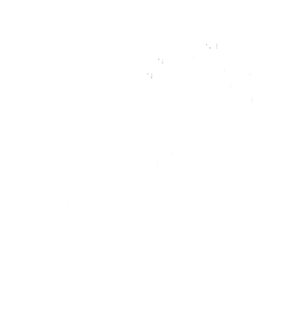 C[C@](N)(COP(=O)(O)O)c1nnc(-c2ccc(OCCCCOc3cccc(Cl)c3)c(C(F)(F)F)c2)s1